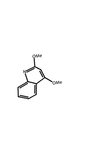 [CH2]Oc1cc(OC)nc2ccccc12